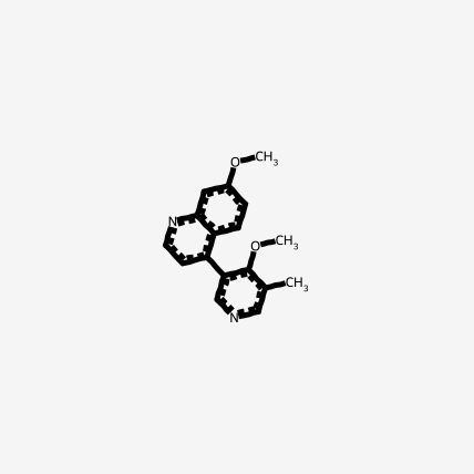 COc1ccc2c(-c3cncc(C)c3OC)ccnc2c1